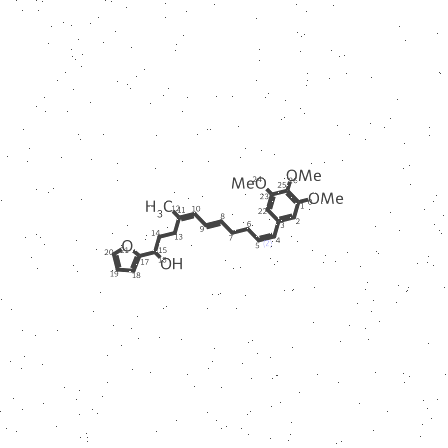 COc1cc(/C=C\CCC=CC=C(C)CCC(O)c2ccco2)cc(OC)c1OC